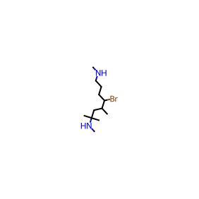 CNCCCC(Br)C(C)CC(C)(C)NC